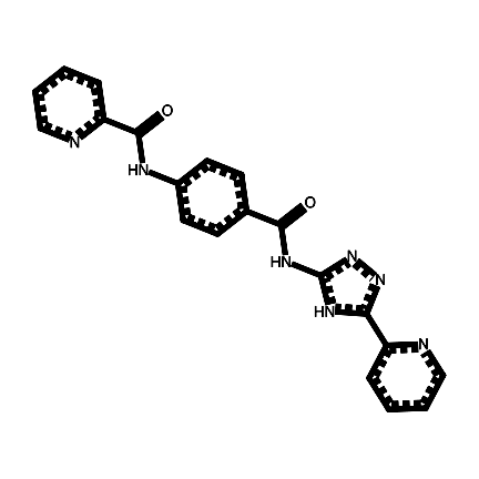 O=C(Nc1nnc(-c2ccccn2)[nH]1)c1ccc(NC(=O)c2ccccn2)cc1